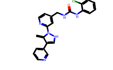 C=C1C(c2cccnc2)=CNN1c1cc(CNC(=O)Nc2ccccc2Cl)ccn1